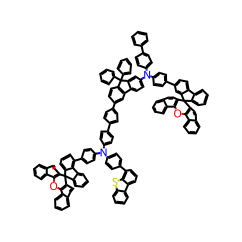 c1ccc(-c2ccc(N(c3ccc(-c4ccc5c(c4)C4(c6ccccc6-5)c5ccc6ccccc6c5Oc5c4ccc4ccccc54)cc3)c3ccc4c(c3)C(c3ccccc3)(c3ccccc3)c3ccc(-c5ccc(-c6ccc(N(c7ccc(-c8cccc9c8-c8ccccc8C98c9ccc%10ccccc%10c9Oc9c8ccc8ccccc98)cc7)c7ccc(-c8cccc9c8sc8ccccc89)cc7)cc6)cc5)cc3-4)cc2)cc1